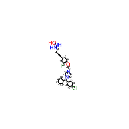 ONNCCC#Cc1ccc(OCCN2CCN([C@H](c3ccccc3)c3ccc(Cl)cc3)CC2)c(F)c1